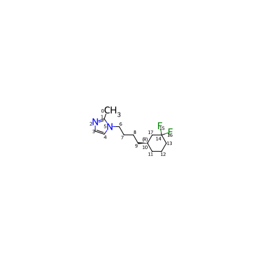 Cc1nccn1CCCC[C@@H]1CCCC(F)(F)C1